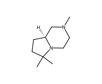 CN1CCN2[C@@H](CCC2(C)C)C1